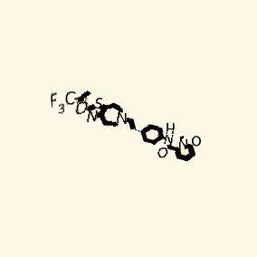 C[C@H](Oc1nc2c(s1)CCN(CC[C@H]1CC[C@H](NC(=O)c3cccc(=O)n3C)CC1)CC2)C(F)(F)F